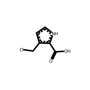 O=C(O)c1[nH]ccc1CCl